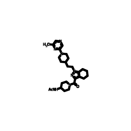 CC(=O)NC1CCN(C(=O)c2nn(CCC3CCN(c4cncc(C)n4)CC3)c3c2CCCC3)CC1